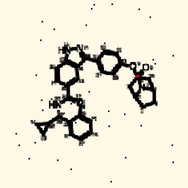 O=CN1C2CCC1CC(Oc1ccc(-c3n[nH]c4ccc(C(=O)N[C@H](c5ccccc5Cl)C5CC5)cc34)cc1)C2